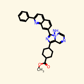 COC(=O)C1CCC(C2=C3C=NC=C[N+]3(N)C(c3ccc4ccc(-c5ccccc5)nc4c3)=N2)CC1